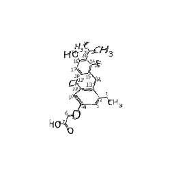 CCc1cc(OCC(=O)O)cc(Cl)c1Cc1ccc(O)c(C(C)C)c1F